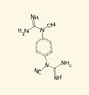 N#CN(C(=N)N)c1ccc(N(C#N)C(=N)N)cc1